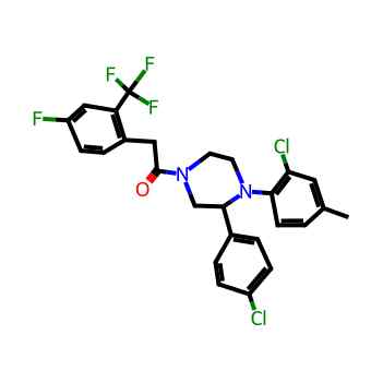 Cc1ccc(N2CCN(C(=O)Cc3ccc(F)cc3C(F)(F)F)CC2c2ccc(Cl)cc2)c(Cl)c1